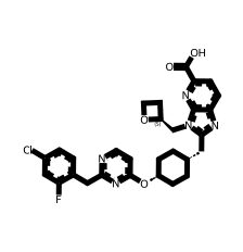 O=C(O)c1ccc2nc(C[C@H]3CC[C@@H](Oc4ccnc(Cc5ccc(Cl)cc5F)n4)CC3)n(C[C@@H]3CCO3)c2n1